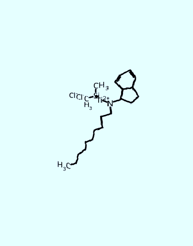 CCCCCCCCCC[N]([Ti+2]=[Si](C)C)C1CCC2C=CC=CC21.[Cl-].[Cl-]